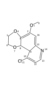 COC1=C2OCCOC2C2C(Cl)=CC=NC2=C1